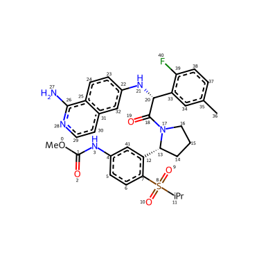 COC(=O)Nc1ccc(S(=O)(=O)C(C)C)c([C@H]2CCCN2C(=O)[C@H](Nc2ccc3c(N)nccc3c2)c2cc(C)ccc2F)c1